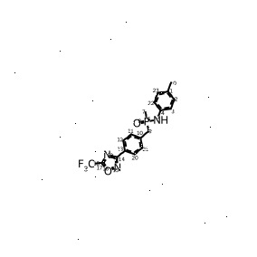 Cc1ccc(NP(C)(=O)Cc2ccc(-c3noc(C(F)(F)F)n3)cc2)cc1